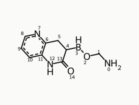 NCOBC1Cc2ncccc2NC1=O